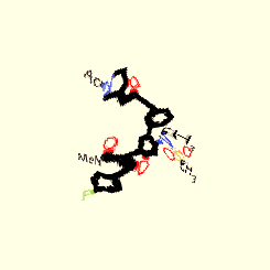 CNC(=O)c1c(-c2ccc(F)cc2)oc2cc(N(C)S(C)(=O)=O)c(-c3cccc(-c4cc5c(o4)CCN(C(C)=O)C5)c3)cc12